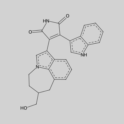 O=C1NC(=O)C(c2cn3c4c(cccc24)CC(CO)CC3)=C1c1c[nH]c2ccccc12